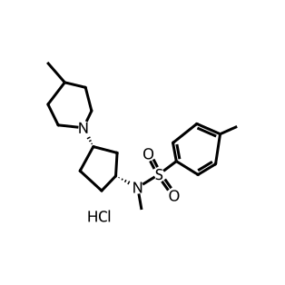 Cc1ccc(S(=O)(=O)N(C)[C@@H]2CC[C@H](N3CCC(C)CC3)C2)cc1.Cl